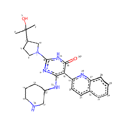 CC(C)(O)C1CCN(c2nc(NC3CCCNC3)c(-c3ccc4ccccc4n3)c(=O)[nH]2)C1